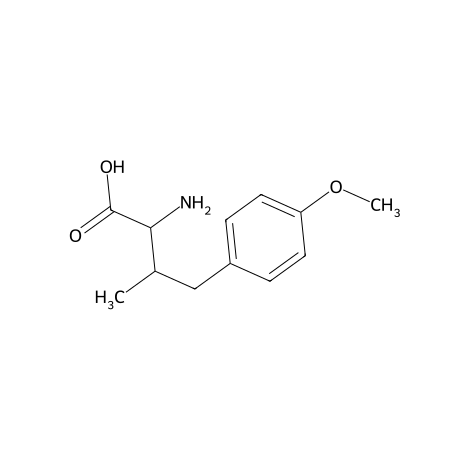 COc1ccc(CC(C)C(N)C(=O)O)cc1